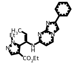 CC=C(Nc1ccn2cc(-c3ccccc3)nc2n1)c1c(C(=O)OCC)cnn1CC